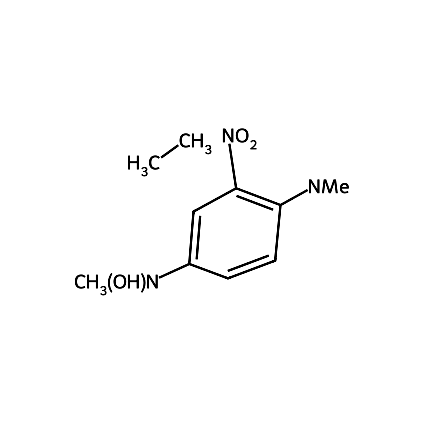 CC.CNc1ccc(N(C)O)cc1[N+](=O)[O-]